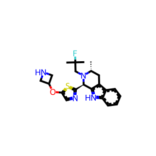 C[C@@H]1Cc2c([nH]c3ccccc23)[C@@H](c2ncc(OC3CNC3)s2)N1CC(C)(C)F